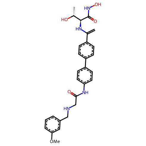 C=C(N[C@H](C(=O)NO)[C@@H](C)O)c1ccc(-c2ccc(NC(=O)CNCc3cccc(OC)c3)cc2)cc1